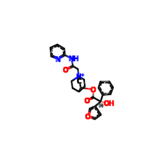 O=C(C[N+]12CCC(CC1)C(OC(=O)[C@@](O)(c1ccccc1)c1ccoc1)C2)Nc1ccccn1